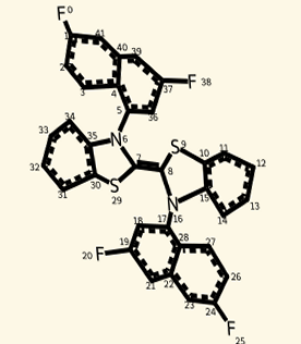 Fc1ccc2c(N3/C(=C4\Sc5ccccc5N4c4cc(F)cc5cc(F)ccc45)Sc4ccccc43)cc(F)cc2c1